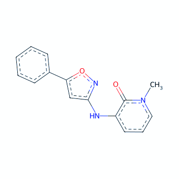 Cn1cccc(Nc2cc(-c3ccccc3)on2)c1=O